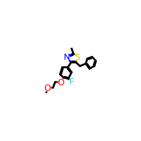 COCCOc1ccc(-c2nc(C)sc2Cc2ccccc2)cc1F